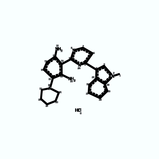 Cl.Cn1cc(-c2ccnc(-c3c(N)ccc(N4CCCCC4)c3N)n2)c2ccccc21